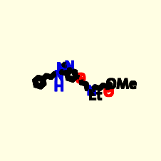 CCN(CCCOc1ccc2c(NCCCc3ccccc3)ncnc2c1)CCCC(=O)OC